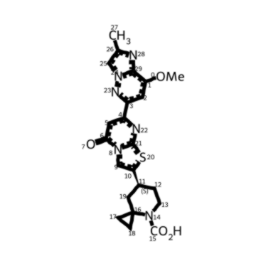 COc1cc(-c2cc(=O)n3cc([C@H]4CCN(C(=O)O)C5(CC5)C4)sc3n2)nn2cc(C)nc12